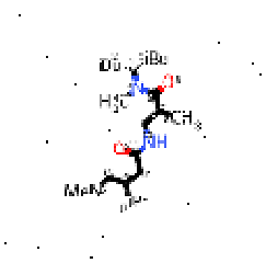 CC[C@@H](C)C([C@@H](C)CC)N(C)C(=O)C(C)CNC(=O)CC(CNC)C(C)C